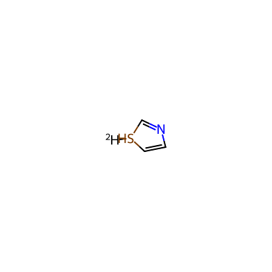 [2H][SH]1C=CN=C1